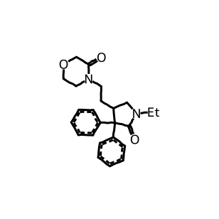 CCN1CC(CCN2CCOCC2=O)C(c2ccccc2)(c2ccccc2)C1=O